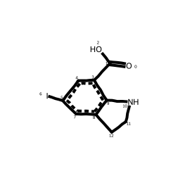 O=C(O)c1cc(I)cc2c1NCC2